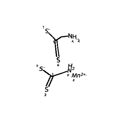 NC(=S)[S-].NC(=S)[S-].[Mn+2]